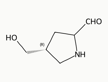 O=CC1C[C@@H](CO)CN1